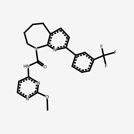 COc1nccc(NC(=O)N2CCCCc3ccc(-c4cccc(C(F)(F)F)c4)nc32)n1